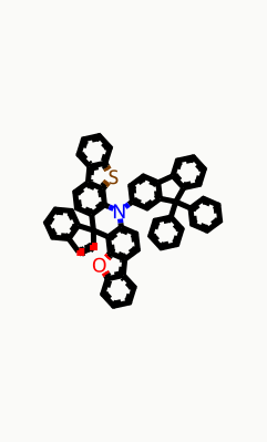 c1ccc(C2(c3ccccc3)c3ccccc3-c3ccc(N4c5ccc6c(oc7ccccc76)c5C5(c6ccccc6-c6ccccc65)c5ccc6c(sc7ccccc76)c54)cc32)cc1